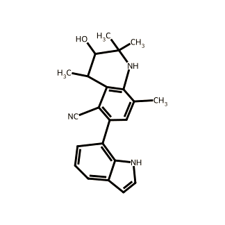 Cc1cc(-c2cccc3cc[nH]c23)c(C#N)c2c1NC(C)(C)C(O)C2C